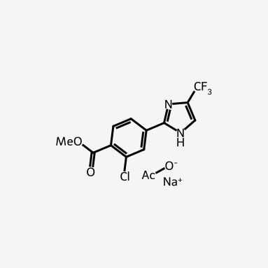 CC(=O)[O-].COC(=O)c1ccc(-c2nc(C(F)(F)F)c[nH]2)cc1Cl.[Na+]